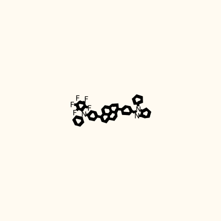 Fc1c(F)c(F)c(N(c2ccccc2)c2ccc(-c3ccc4ccc5c(-c6ccc(-c7nc8ccccc8n7-c7ccccc7)cc6)ccc6ccc3c4c65)cc2)c(F)c1F